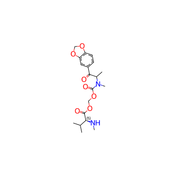 CN[C@H](C(=O)OCOC(=O)N(C)C(C)C(=O)c1ccc2c(c1)OCO2)C(C)C